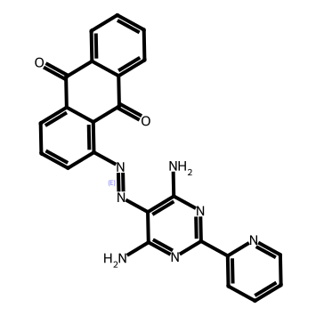 Nc1nc(-c2ccccn2)nc(N)c1/N=N/c1cccc2c1C(=O)c1ccccc1C2=O